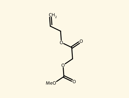 C=CCOC(=O)COC(=O)OC